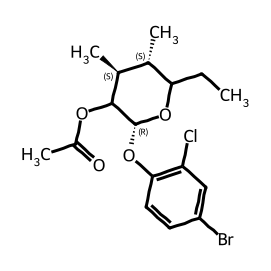 CCC1O[C@H](Oc2ccc(Br)cc2Cl)C(OC(C)=O)[C@@H](C)[C@@H]1C